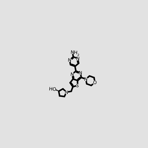 Nc1ncc(-c2nc(N3CCOCC3)c3sc(CN4CC[C@@H](O)C4)cc3n2)cn1